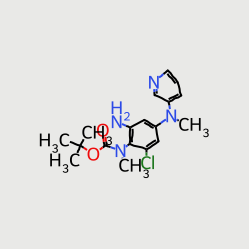 CN(C(=O)OC(C)(C)C)c1c(N)cc(N(C)c2cccnc2)cc1Cl